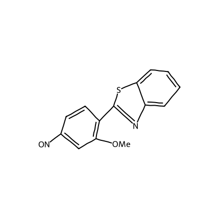 COc1cc(N=O)ccc1-c1nc2ccccc2s1